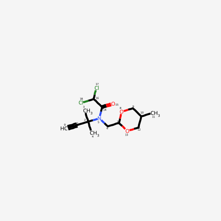 C#CC(C)(C)N(CC1OCC(C)CO1)C(=O)C(Cl)Cl